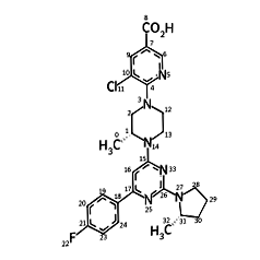 C[C@@H]1CN(c2ncc(C(=O)O)cc2Cl)CCN1c1cc(-c2ccc(F)cc2)nc(N2CCC[C@@H]2C)n1